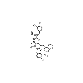 N#CCN(C(=O)NCc1ccc(Cl)c(Cl)c1)N1CC(=O)N2C1CN(Cc1cccc3ccccc13)C(=O)[C@@H]2Cc1ccc(O)c(N)c1